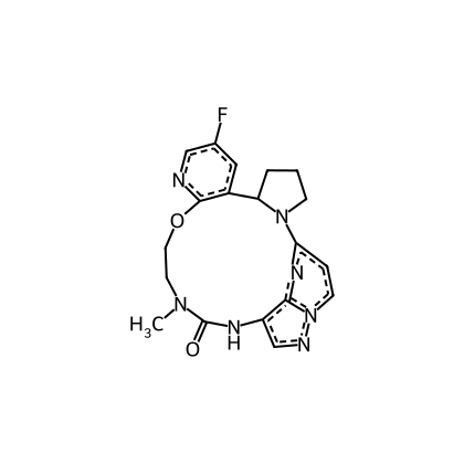 CN1CCOc2ncc(F)cc2C2CCCN2c2ccn3ncc(c3n2)NC1=O